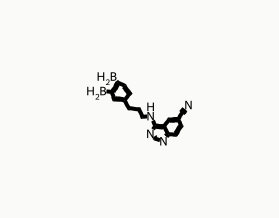 Bc1ccc(CCCNc2ncnc3ccc(C#N)cc23)cc1B